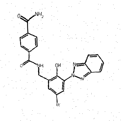 CCc1cc(CNC(=O)c2ccc(C(N)=O)cc2)c(O)c(-n2nc3ccccc3n2)c1